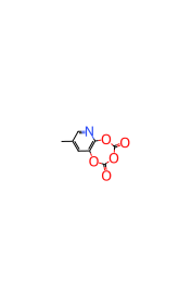 Cc1cnc2c(c1)OC(=O)OC(=O)O2